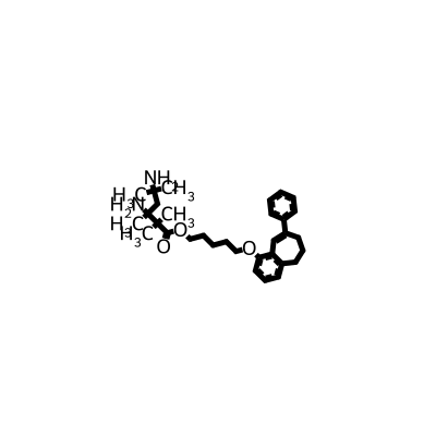 CC(C)(N)CC(C)(N)C(C)(C)C(=O)OCCCCCOc1cccc2c1C=C(c1ccccc1)CCC2